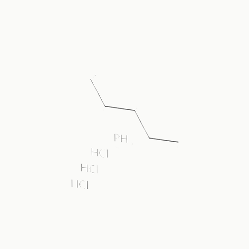 CCCCC.Cl.Cl.Cl.P